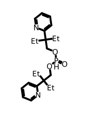 CCC(CC)(CO[PH](=O)OCC(CC)(CC)c1ccccn1)c1ccccn1